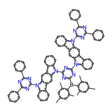 Cc1cc(C)c(B(c2nc(-n3c4ccccc4c4cc5c(cc43)c3ccccc3n5-c3nc(-c4ccccc4)nc(-c4ccccc4)n3)nc(-n3c4ccccc4c4cc5c(cc43)c3ccccc3n5-c3nc(-c4ccccc4)nc(-c4ccccc4)n3)n2)c2c(C)cc(C)cc2C)c(C)c1